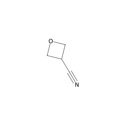 N#CC1COC1